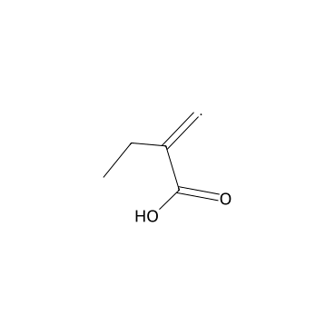 [CH]=C(CC)C(=O)O